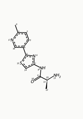 Cc1ccc(-c2nc(NC(=O)[C@H](C)N)cs2)cn1